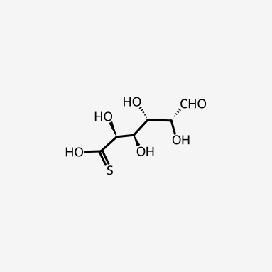 O=C[C@H](O)[C@@H](O)[C@@H](O)[C@H](O)C(O)=S